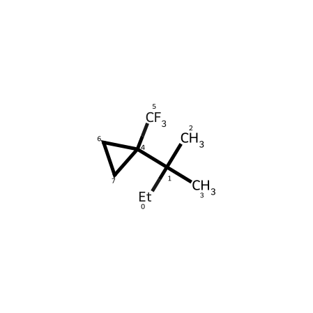 CCC(C)(C)C1(C(F)(F)F)CC1